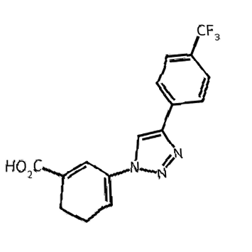 O=C(O)C1=CC(n2cc(-c3ccc(C(F)(F)F)cc3)nn2)=CCC1